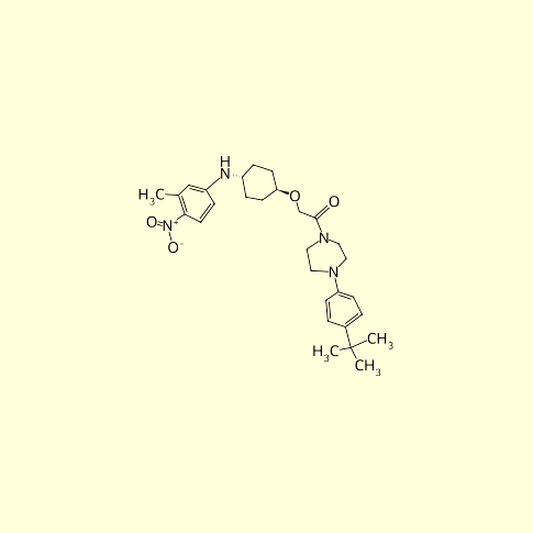 Cc1cc(N[C@H]2CC[C@H](OCC(=O)N3CCN(c4ccc(C(C)(C)C)cc4)CC3)CC2)ccc1[N+](=O)[O-]